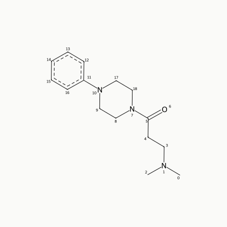 CN(C)CCC(=O)N1CCN(c2cc[c]cc2)CC1